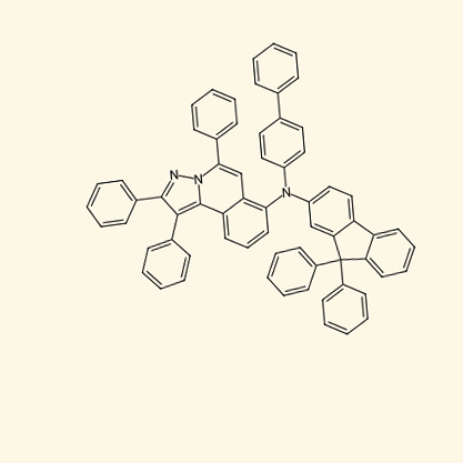 c1ccc(-c2ccc(N(c3ccc4c(c3)C(c3ccccc3)(c3ccccc3)c3ccccc3-4)c3cccc4c3cc(-c3ccccc3)n3nc(-c5ccccc5)c(-c5ccccc5)c43)cc2)cc1